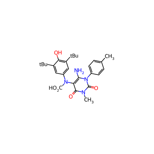 Cc1ccc(-n2c(N)c(N(C(=O)O)c3cc(C(C)(C)C)c(O)c(C(C)(C)C)c3)c(=O)n(C)c2=O)cc1